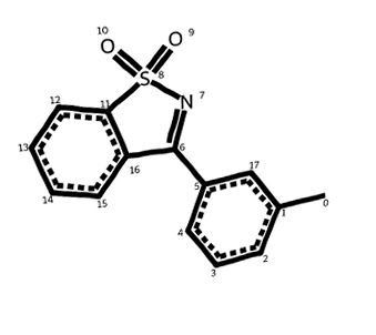 Cc1cccc(C2=NS(=O)(=O)c3ccccc32)c1